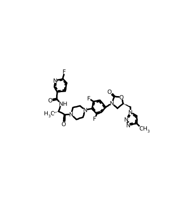 Cc1cn(C[C@H]2CN(c3cc(F)c(N4CCN(C(=O)[C@H](C)NC(=O)c5ccc(F)nc5)CC4)c(F)c3)C(=O)O2)nn1